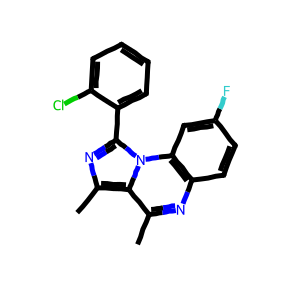 Cc1nc(-c2ccccc2Cl)n2c1c(C)nc1ccc(F)cc12